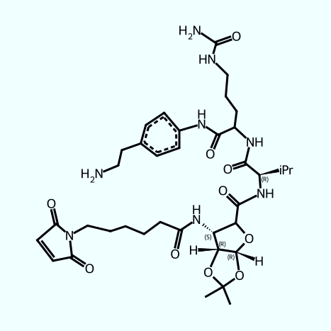 CC(C)[C@@H](NC(=O)C1O[C@@H]2OC(C)(C)O[C@@H]2[C@@H]1NC(=O)CCCCCN1C(=O)C=CC1=O)C(=O)NC(CCCNC(N)=O)C(=O)Nc1ccc(CCN)cc1